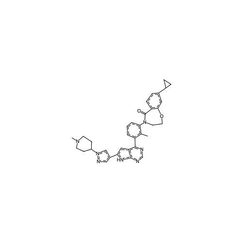 Cc1c(-c2ncnc3[nH]c(-c4cnn(C5CCN(C)CC5)c4)cc23)cccc1N1CCOc2cc(C3CC3)ccc2C1=O